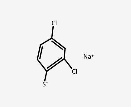 [Na+].[S-]c1ccc(Cl)cc1Cl